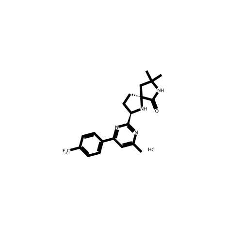 Cc1cc(-c2ccc(C(F)(F)F)cc2)nc([C@H]2CC[C@@]3(CC(C)(C)NC3=O)N2)n1.Cl